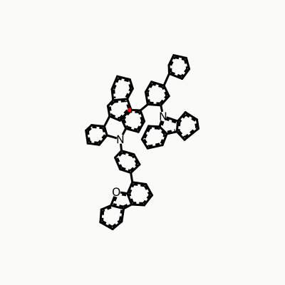 c1ccc(-c2ccc(-c3ccc(N(c4ccc(-c5cccc6c5oc5ccccc56)cc4)c4ccccc4-c4ccc5ccccc5c4)cc3)c(-n3c4ccccc4c4ccccc43)c2)cc1